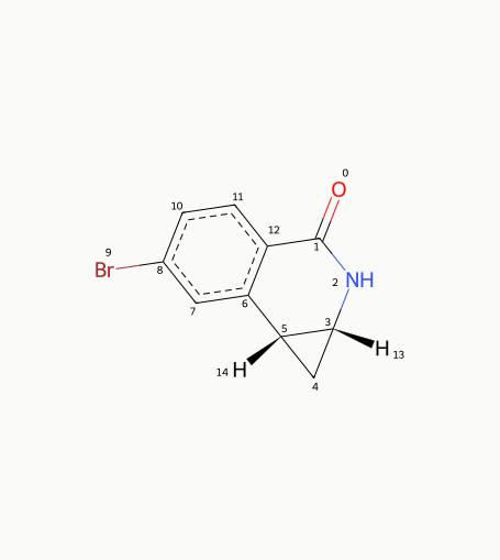 O=C1N[C@@H]2C[C@@H]2c2cc(Br)ccc21